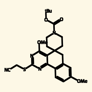 COc1ccc2c(c1)CC1(CCN(C(=O)OC(C)(C)C)CC1)c1c(OC)nc(SCC#N)nc1-2